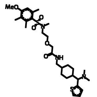 COc1cc(C)c(S(=O)(=O)N(C)CCOCC(=O)NCC2CCC(C(c3cccs3)N(C)C)CC2)c(C)c1C